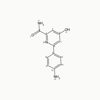 NC(=O)c1cc(O)cc(-c2ccc(N)cc2)n1